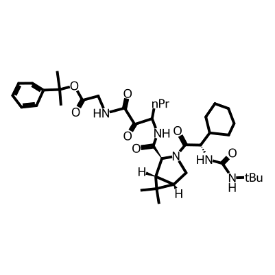 CCCC(NC(=O)[C@@H]1[C@@H]2[C@H](CN1C(=O)[C@@H](NC(=O)NC(C)(C)C)C1CCCCC1)C2(C)C)C(=O)C(=O)NCC(=O)OC(C)(C)c1ccccc1